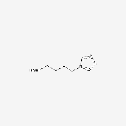 [CH2]CCCCCCCCn1ccnc1